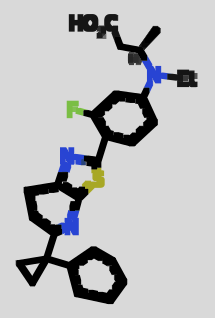 CCN(c1ccc(-c2nc3ccc(C4(c5ccccc5)CC4)nc3s2)c(F)c1)[C@H](C)CC(=O)O